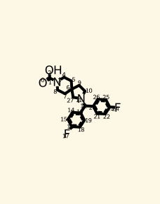 O=C(O)N1CCC2(CC1)CCN(C(c1ccc(F)cc1)c1ccc(F)cc1)C2